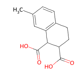 Cc1ccc2c(c1)C(C(=O)O)C(C(=O)O)CC2